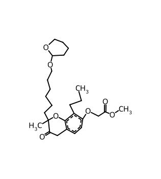 CCCc1c(OCC(=O)OC)ccc2c1OC(C)(CCCCCCOC1CCCCO1)C(=O)C2